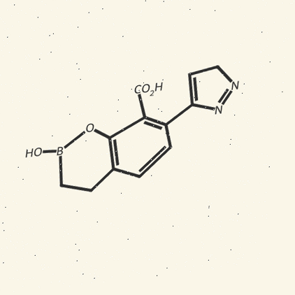 O=C(O)c1c(C2=CCN=N2)ccc2c1OB(O)CC2